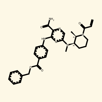 C=CC(=O)N1CCC[C@@H](N(C)c2cnc(C(N)=O)c(Nc3ccc(C(=O)OCc4ccccc4)cc3)n2)[C@H]1C